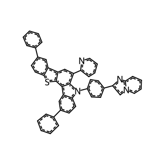 c1ccc(-c2ccc3sc4c(cc(-c5ccccn5)c5c4c4cc(-c6ccccc6)ccc4n5-c4ccc(-c5cn6ccccc6n5)cc4)c3c2)cc1